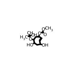 COC(=O)OC1/C=C/C(O)CC(O)C(OC(C)(C)C)C1